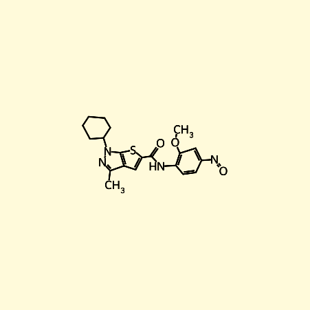 COc1cc(N=O)ccc1NC(=O)c1cc2c(C)nn(C3CCCCC3)c2s1